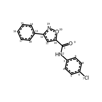 O=C(Nc1ccc(Cl)cc1)c1cc(-c2ccccc2)no1